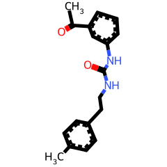 CC(=O)c1cccc(NC(=O)NCCc2ccc(C)cc2)c1